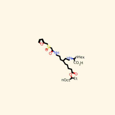 CCCCCCCCC(CC)OC(=O)CCCCC(CCCNC(=O)C[S+]([O-])Cc1ccco1)CCNC(CCCCCC)C(=O)O